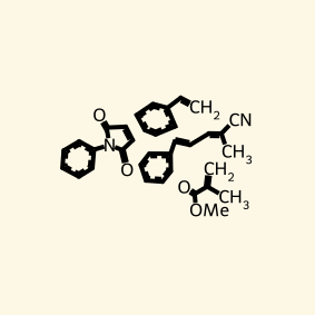 C=C(C)C(=O)OC.C=Cc1ccccc1.CC(C#N)=CC=Cc1ccccc1.O=C1C=CC(=O)N1c1ccccc1